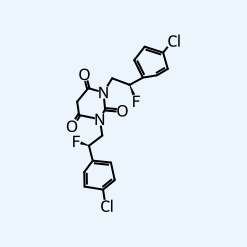 O=C1CC(=O)N(C[C@H](F)c2ccc(Cl)cc2)C(=O)N1C[C@H](F)c1ccc(Cl)cc1